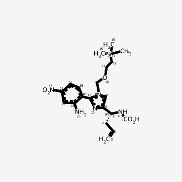 C=CC[C@@H](NC(=O)O)c1cn(COCC[Si](C)(C)C)c(-c2ccc([N+](=O)[O-])cc2N)n1